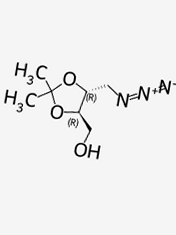 CC1(C)O[C@H](CO)[C@@H](CN=[N+]=[N-])O1